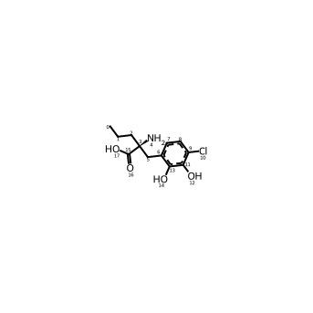 CCC[C@](N)(Cc1ccc(Cl)c(O)c1O)C(=O)O